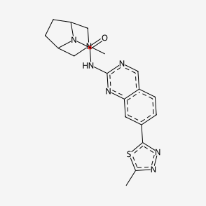 Cc1nnc(-c2ccc3cnc(NC(=O)N4C5CCC4CN(C)C5)nc3c2)s1